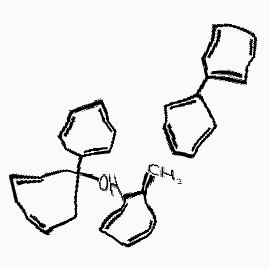 C=C1C=CC=C1.OC1(c2ccccc2)C=CC=CC1.c1ccc(-c2ccccc2)cc1